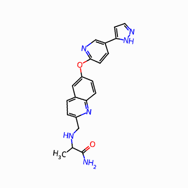 CC(NCc1ccc2cc(Oc3ccc(-c4ccn[nH]4)cn3)ccc2n1)C(N)=O